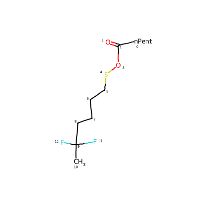 CCCCCC(=O)OSCCCCC(C)(F)F